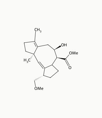 COC[C@H]1CCC2/C1=C\[C@@]1(C)CCC(C)=C1C[C@@H](O)[C@H]2C(=O)OC